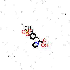 CS(=O)(=O)Oc1ccc(C[C@@H](C(=O)O)n2cccc2)cc1